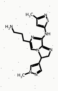 Cc1cc(NC2=NC(CCCN)=CN3C2=NCC3c2cnn(C)c2)sn1